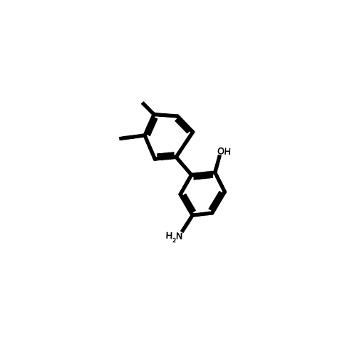 Cc1ccc(-c2cc(N)ccc2O)cc1C